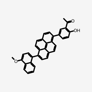 COc1ccc(-c2ccc3ccc4c(-c5ccc(O)c(C(C)=O)c5)ccc5ccc2c3c54)c2ccccc12